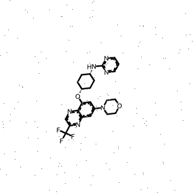 FC(F)(F)c1cnc2c(O[C@H]3CC[C@@H](Nc4ncccn4)CC3)cc(N3CCOCC3)cc2n1